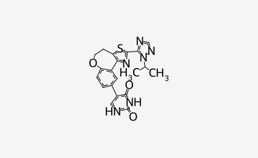 CC(C)n1ncnc1-c1nc2c(s1)CCOc1ccc(-c3c[nH]c(=O)[nH]c3=O)cc1-2